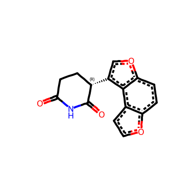 O=C1CC[C@H](c2coc3ccc4occc4c23)C(=O)N1